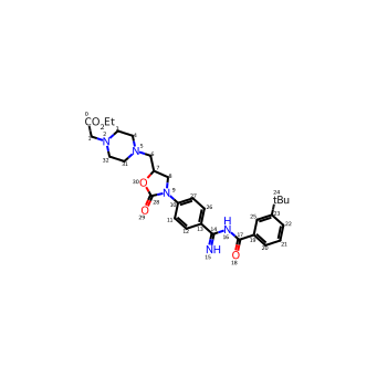 CCOC(=O)CN1CCN(CC2CN(c3ccc(C(=N)NC(=O)c4cccc(C(C)(C)C)c4)cc3)C(=O)O2)CC1